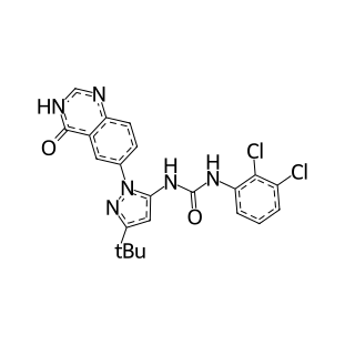 CC(C)(C)c1cc(NC(=O)Nc2cccc(Cl)c2Cl)n(-c2ccc3nc[nH]c(=O)c3c2)n1